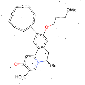 COCCCOc1cc2c(cc1-c1ccccccccc1)-c1cc(=O)c(C(=O)O)cn1[C@H](C(C)(C)C)C2